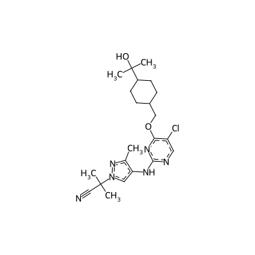 Cc1nn(C(C)(C)C#N)cc1Nc1ncc(Cl)c(OCC2CCC(C(C)(C)O)CC2)n1